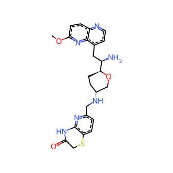 COc1ccc2nccc(C[C@@H](N)[C@@H]3CC[C@@H](NCc4ccc5c(n4)NC(=O)CS5)CO3)c2n1